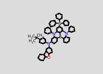 CC(C)(C)c1ccc(N(c2ccc3c(c2)N(c2ccccc2)c2cc([Si](c4ccccc4)(c4ccccc4)c4ccccc4)cc4c2B3c2ccccc2N4c2ccccc2)c2ccc3oc4ccccc4c3c2)cc1